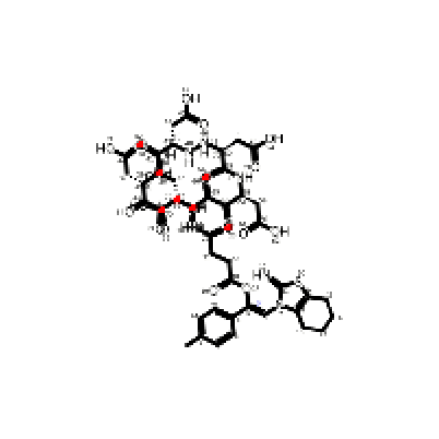 Cc1ccc(/C(=C/n2c3c(sc2=N)CCCC3)OC(=O)CCC(=O)NN[C@@H](CC(=O)O)C(=O)C(=O)[C@H](CC(=O)O)NC(=O)[C@H](CC(=O)O)NN[C@@H](CC(=O)O)C(=O)N[C@@H](CC(=O)O)C(=O)C(=O)[C@@H](N)CC(=O)O)cc1